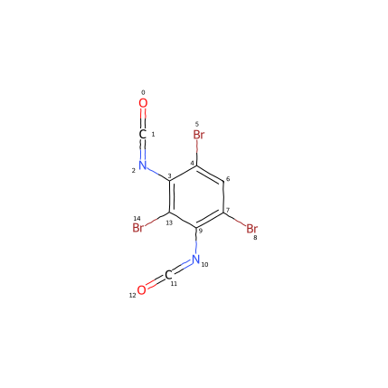 O=C=Nc1c(Br)cc(Br)c(N=C=O)c1Br